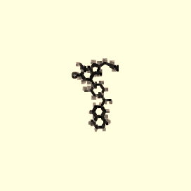 CC(c1ccc2nccnc2c1)N1CCN(c2cc(=O)n(C)n3cc(CC#N)nc23)C(C)C1